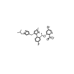 CC(C)Cn1cc(Cc2cn(C)nc2-c2ccc(F)cc2[C@@H](C)Oc2cc(Br)cnc2[N+](=O)[O-])cn1